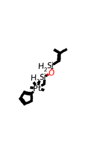 CC(C)=C[SiH2]O[SiH2][CH2][Pt]([CH3])([CH3])([CH3])([CH3])[C]1=CC=CC1